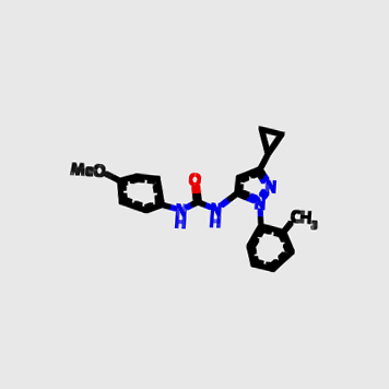 COc1ccc(NC(=O)Nc2cc(C3CC3)nn2-c2ccccc2C)cc1